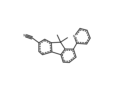 CC1(C)c2cc(C#N)ccc2-c2cccc(-c3ccccn3)c21